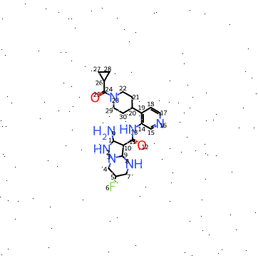 NC1NN2CC(F)CNC2C1C(=O)Nc1cnccc1C1CCN(C(=O)C2CC2)CC1